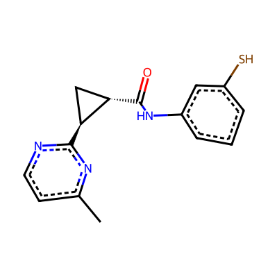 Cc1ccnc([C@H]2C[C@@H]2C(=O)Nc2cccc(S)c2)n1